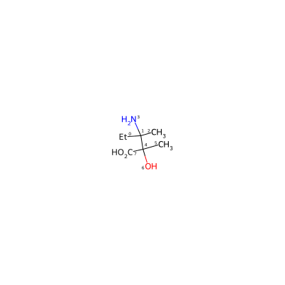 CCC(C)(N)C(C)(O)C(=O)O